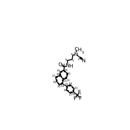 CN(C#N)CCCNC(=O)c1ccc2c(-c3ccc(C(F)(F)F)cc3)cccc2c1